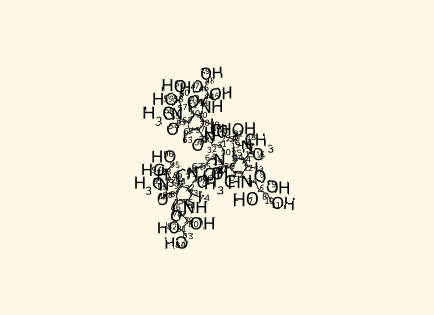 Cc1c(NC(=O)C(O)C(O)CO)c(I)c(C(=O)N(C)CC(O)CO)c(I)c1C(=O)N(CCCN(C)C(=O)c1c(I)c(NC(=O)C(O)C(O)CO)c(I)c(C(=O)N(C)CC(O)CO)c1I)CC(O)CN(C)C(=O)c1c(I)c(NC(=O)C(O)C(O)CO)c(I)c(C(=O)N(C)CC(O)CO)c1I